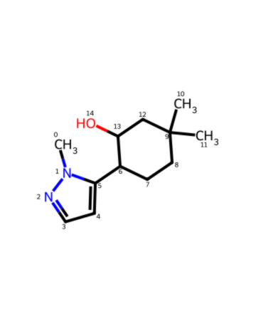 Cn1nccc1C1CCC(C)(C)CC1O